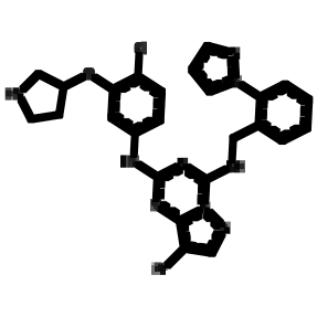 CC(C)c1cnn2c(NCc3ccccc3-n3cccn3)nc(Nc3ccc(Cl)c(OC4CCNC4)c3)nc12